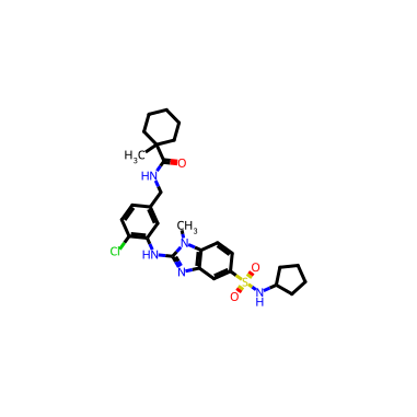 Cn1c(Nc2cc(CNC(=O)C3(C)CCCCC3)ccc2Cl)nc2cc(S(=O)(=O)NC3CCCC3)ccc21